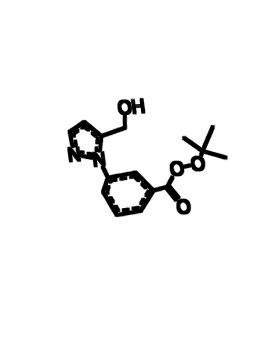 CC(C)(C)OOC(=O)c1cccc(-n2nccc2CO)c1